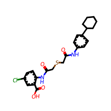 O=C(CSCC(=O)Nc1ccc(Cl)cc1C(=O)O)Nc1ccc(C2CCCCC2)cc1